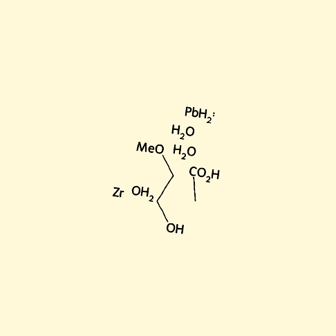 CC(=O)O.COCCO.O.O.O.[PbH2].[Zr]